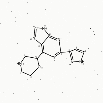 c1cc(-c2nc(C3CNCCO3)c3nc[nH]c3n2)n[nH]1